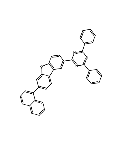 c1ccc(-c2nc(-c3ccccc3)nc(-c3ccc4oc5cc(-c6cccc7ccccc67)ccc5c4c3)n2)cc1